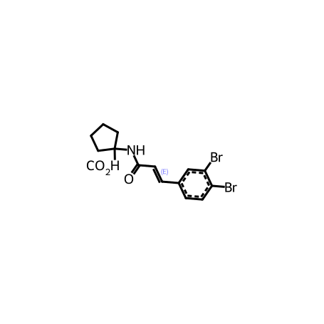 O=C(/C=C/c1ccc(Br)c(Br)c1)NC1(C(=O)O)CCCC1